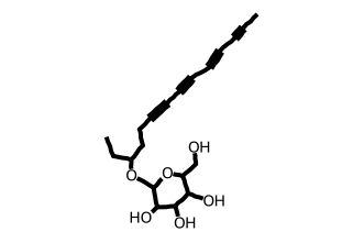 CC#CC#CC#CC#CCCC(CC)OC1OC(CO)C(O)C(O)C1O